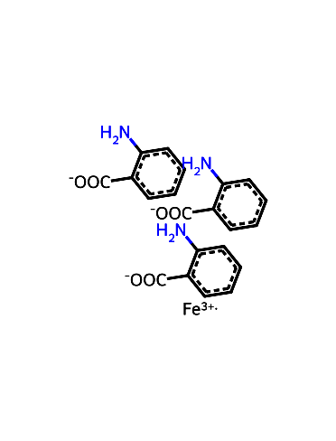 Nc1ccccc1C(=O)[O-].Nc1ccccc1C(=O)[O-].Nc1ccccc1C(=O)[O-].[Fe+3]